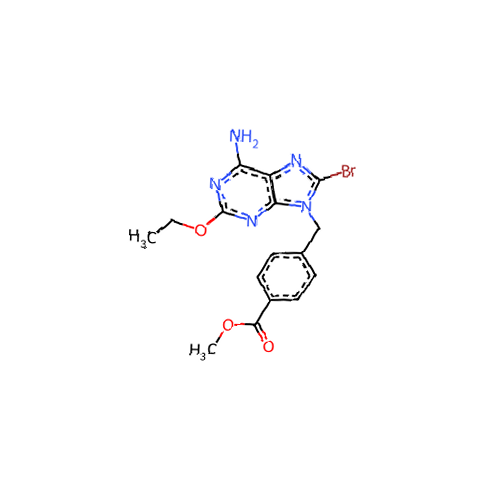 CCOc1nc(N)c2nc(Br)n(Cc3ccc(C(=O)OC)cc3)c2n1